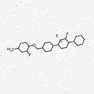 CC1CCC(OCC2CCC(C3CCC(C4CCCCC4)C(F)[C@H]3F)CC2)C(F)C1